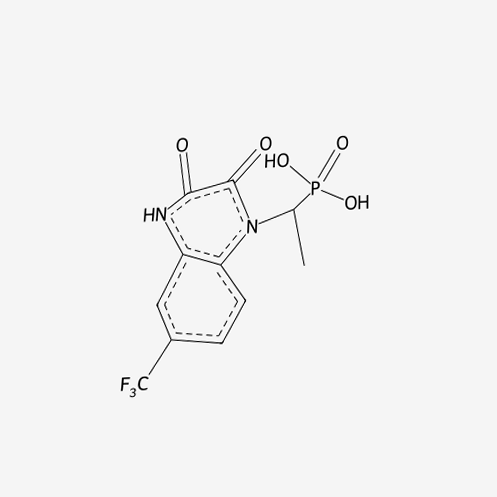 CC(n1c(=O)c(=O)[nH]c2cc(C(F)(F)F)ccc21)P(=O)(O)O